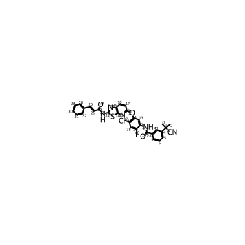 CC(C)(C#N)c1cccc(C(=O)Nc2cc(Oc3ccc4nc(NC(=O)C=Cc5ccccc5)sc4n3)c(Cl)cc2F)c1